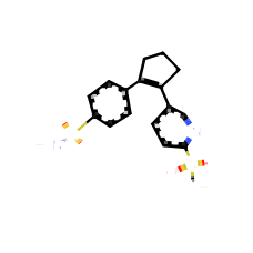 CS(=O)(=O)c1ccc(C2=C(c3ccc(S(N)(=O)=O)cc3)CCC2)cn1